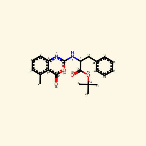 Cc1cccc2nc(NC(Cc3ccccc3)C(=O)OC(C)(C)C)oc(=O)c12